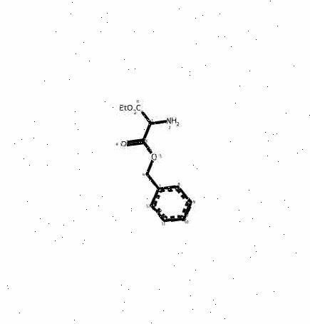 CCOC(=O)C(N)C(=O)OCc1ccccc1